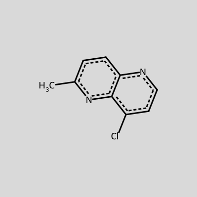 Cc1ccc2nccc(Cl)c2n1